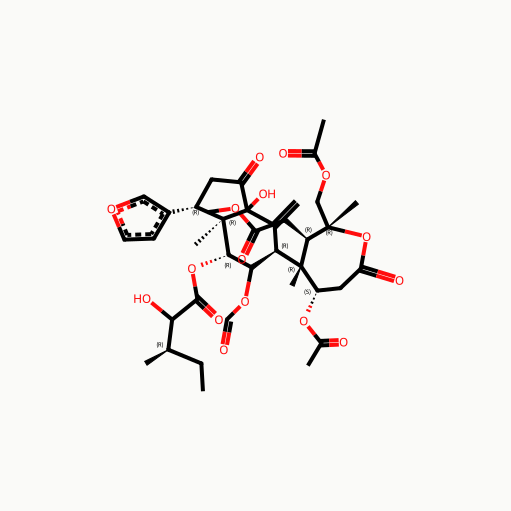 C=C1[C@@H]([C@@]2(C)[C@@H](OC(C)=O)CC(=O)O[C@@](C)(COC(C)=O)[C@@H]2CC(=O)OC)C(OC=O)[C@H](OC(=O)C(O)[C@H](C)CC)[C@@]2(C)[C@H](c3ccoc3)CC(=O)C12O